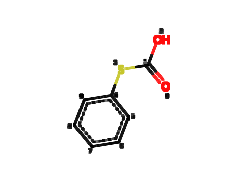 O=C(O)Sc1[c]cccc1